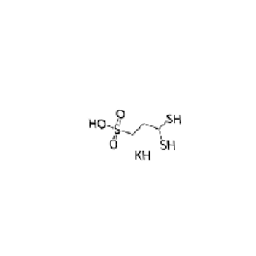 O=S(=O)(O)CCC(S)S.[KH]